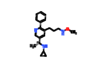 CONCCCc1cc([C@@H](C)NC2CC2)cnc1-c1ccccc1